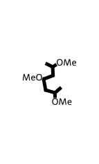 COC(C)CC(CC(C)OC)OC